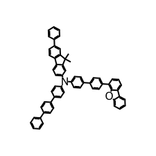 CC1(C)c2cc(-c3ccccc3)ccc2-c2ccc(N(c3ccc(-c4ccc(-c5ccccc5)cc4)cc3)c3ccc(-c4ccc(-c5cccc6c5oc5ccccc56)cc4)cc3)cc21